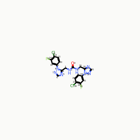 O=C(NCc1ncnn1-c1ccc(Cl)c(F)c1)NCc1ncnn1-c1ccc(Cl)c(F)c1